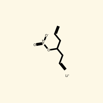 C=CCC(CC=C)O[PH](=O)[O-].[Li+]